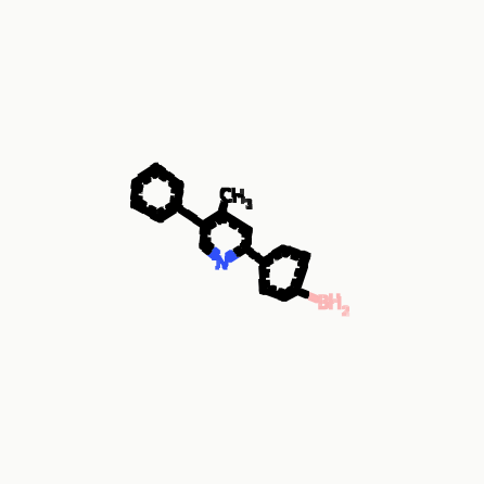 Bc1ccc(-c2cc(C)c(-c3ccccc3)cn2)cc1